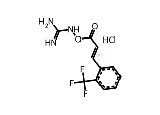 Cl.N=C(N)NOC(=O)/C=C/c1ccccc1C(F)(F)F